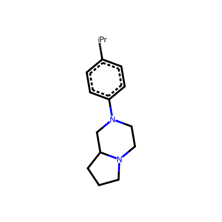 CC(C)c1ccc(N2CCN3CCCC3C2)cc1